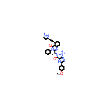 CC(C)Oc1ccc(-c2cnc(N)c(C(=O)N[C@H](C)c3nc4cccc(C#Cc5ccn(C)n5)c4c(=O)n3-c3ccccc3)n2)cc1